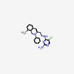 Cc1cccc2c1CN(c1ccccc1)C(CCNc1nc(N)ncc1Cl)=C2